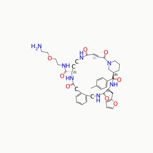 Cc1ccc(C[C@]23CCCN(C2)C(=O)/C=C/C(=O)NCC[C@@H](C(=O)NCCOCCN)NC(=O)Cc2ccccc2CNC(=O)[C@H](Cc2ccco2)NC3=O)cc1